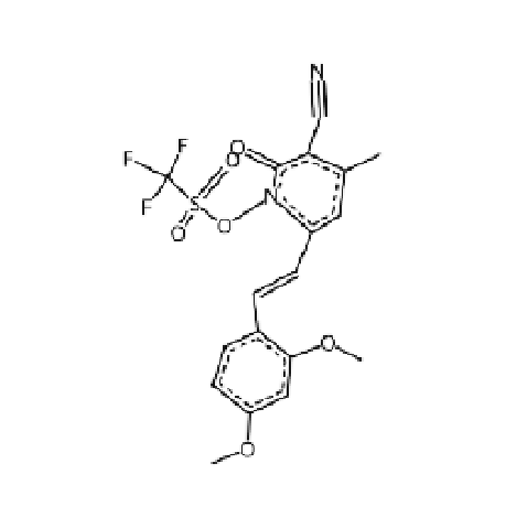 COc1ccc(/C=C/c2cc(C)c(C#N)c(=O)n2OS(=O)(=O)C(F)(F)F)c(OC)c1